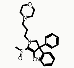 C[S+]([O-])C1=C(C#N)C(c2ccccc2)(c2ccccc2)CN1CCCN1CCOCC1